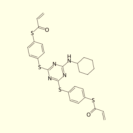 C=CC(=O)Sc1ccc(Sc2nc(NC3CCCCC3)nc(Sc3ccc(SC(=O)C=C)cc3)n2)cc1